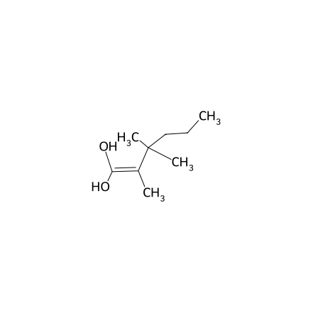 CCCC(C)(C)C(C)=C(O)O